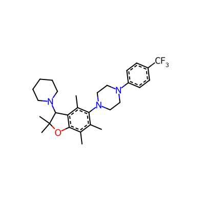 Cc1c(C)c(N2CCN(c3ccc(C(F)(F)F)cc3)CC2)c(C)c2c1OC(C)(C)C2N1CCCCC1